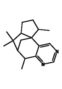 CC1c2ncncc2C23CC1C(C)(C)C2CCC3C